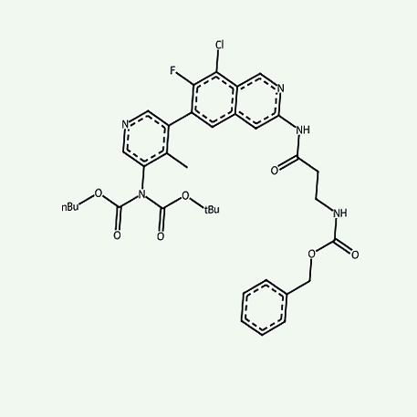 CCCCOC(=O)N(C(=O)OC(C)(C)C)c1cncc(-c2cc3cc(NC(=O)CCNC(=O)OCc4ccccc4)ncc3c(Cl)c2F)c1C